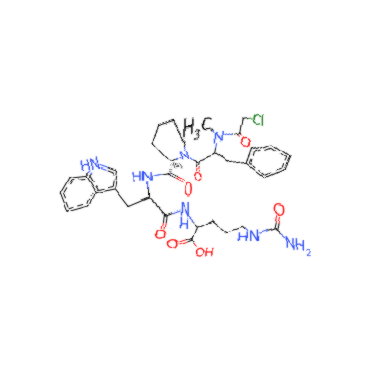 CN(C(=O)CCl)C(Cc1ccccc1)C(=O)N1CCCC[C@H]1C(=O)NC(Cc1c[nH]c2ccccc12)C(=O)NC(CCCNC(N)=O)C(=O)O